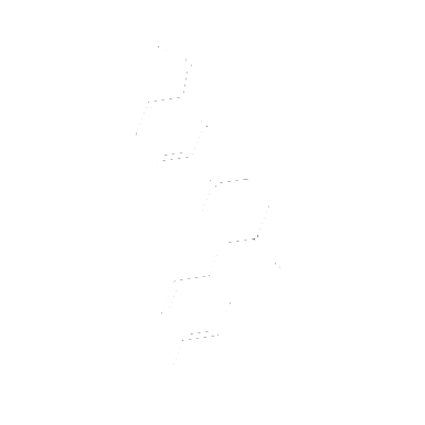 CN(/C=C\C(=N)Oc1ccc(I)c(F)c1)c1ccc2cc[nH]c2n1